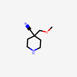 COCC1(C#N)CCNCC1